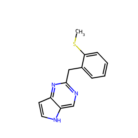 CSc1ccccc1Cc1ncc2[nH]ccc2n1